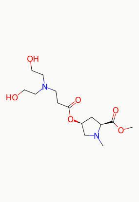 COC(=O)[C@@H]1C[C@H](OC(=O)CCN(CCO)CCO)CN1C